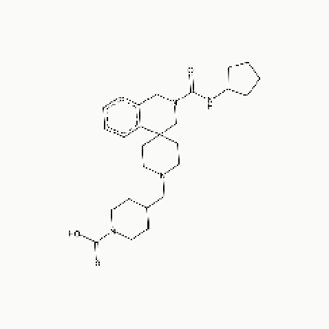 O=C(O)N1CCC(CN2CCC3(CC2)CN(C(=O)NC2CCCC2)Cc2ccccc23)CC1